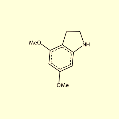 COc1cc2c(c(OC)c1)CCN2